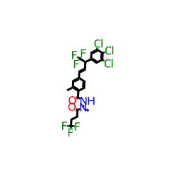 Cc1cc(/C=C/C(c2cc(Cl)c(Cl)c(Cl)c2)C(F)(F)F)ccc1C(=O)NN(C)C(=O)CCC(F)(F)F